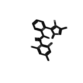 CC1=CC(C)C(c2ccccc2C(C)Nc2c(C)cc(C)cc2C)=C1C